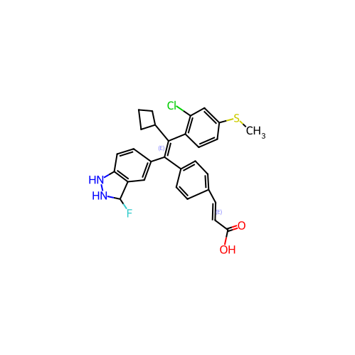 CSc1ccc(/C(=C(\c2ccc(/C=C/C(=O)O)cc2)c2ccc3c(c2)C(F)NN3)C2CCC2)c(Cl)c1